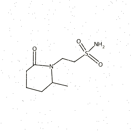 CC1CCCC(=O)N1CCS(N)(=O)=O